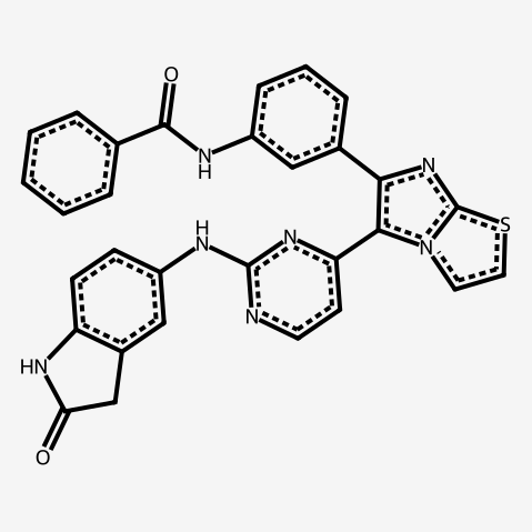 O=C1Cc2cc(Nc3nccc(-c4c(-c5cccc(NC(=O)c6ccccc6)c5)nc5sccn45)n3)ccc2N1